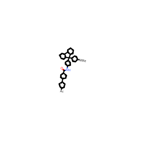 CNc1ccc(C2(c3ccc(NC(=O)c4ccc(-c5ccc(C(C)=O)cc5)cc4)cc3)c3ccccc3-c3ccccc32)cc1